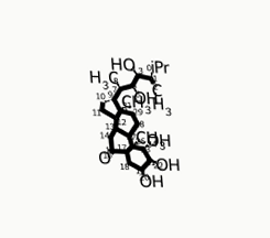 CC(C)[C@H](C)[C@@H](O)[C@H](O)[C@@H](C)[C@H]1CCC2C3CC(=O)C4C[C@H](O)[C@H](O)[C@@H](O)[C@]4(C)C3CC[C@@]21C